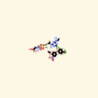 CCNc1nc(Cl)nc(NC(C)C)n1.CCOc1cc(Oc2ccc(C(F)(F)F)cc2Cl)ccc1[N+](=O)[O-].C[S+](C)C.O=C(O)CNCP(=O)([O-])O